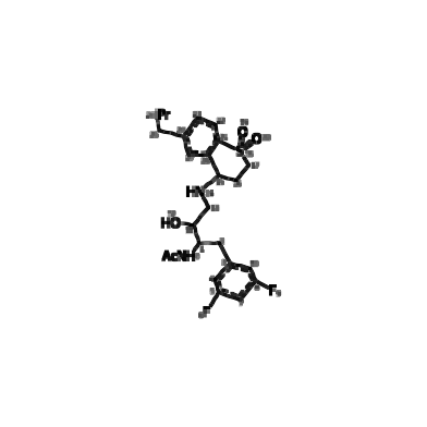 CC(=O)NC(Cc1cc(F)cc(F)c1)C(O)CNC1CCS(=O)(=O)c2ccc(CC(C)C)cc21